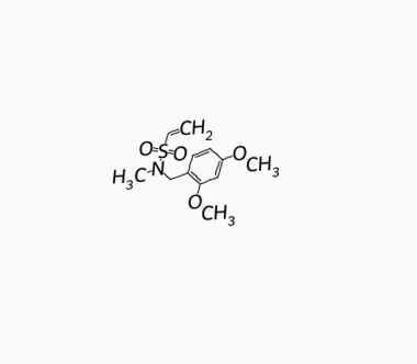 C=CS(=O)(=O)N(C)Cc1ccc(OC)cc1OC